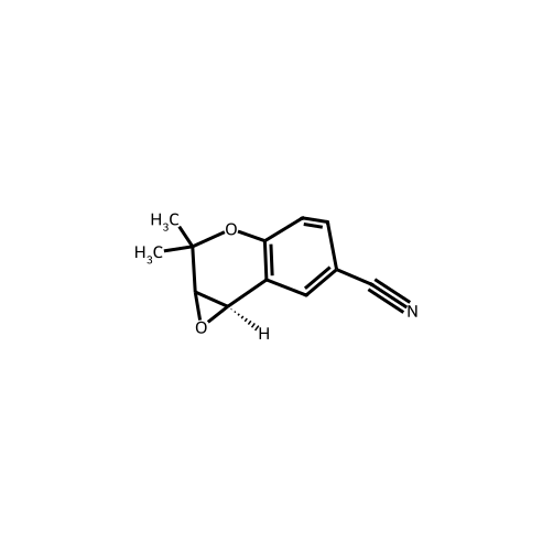 CC1(C)Oc2ccc(C#N)cc2[C@H]2OC21